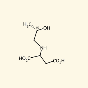 C[C@H](O)CNC(CC(=O)O)C(=O)O